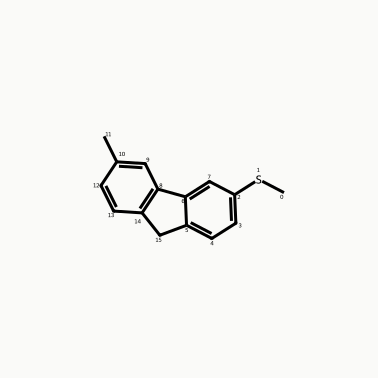 CSc1ccc2c(c1)-c1cc(C)ccc1C2